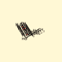 C=C.C=C.C=C.C=C.C=C.C=C.C=C.C=C.C=C.C=C.C=C.C=C.C=C.C=C.C=C.C=C.C=C.CCCCCCCCCCCCCCCCO